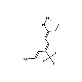 CC\C(=C/C=C(\C=C\N)C(F)(F)F)NN